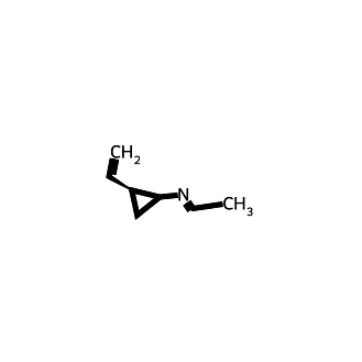 C=C[C@@H]1CC1/N=C/C